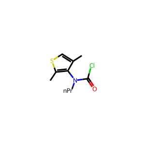 CCCN(C(=O)Cl)c1c(C)csc1C